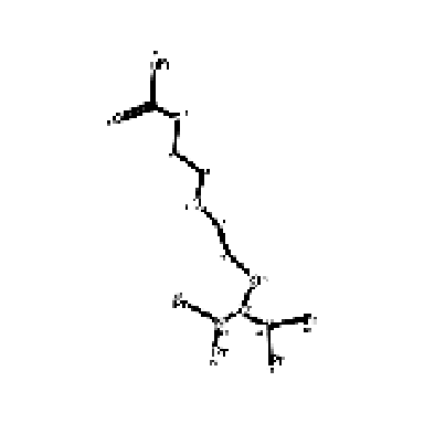 CCCC(=O)SCCOCCOP(N(C(C)C)C(C)C)N(C(C)C)C(C)C